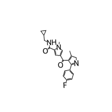 CC1=C(C(=O)c2cc(C(=O)NCC3CC3)n(C)c2)C(c2ccc(F)cc2)=NC1